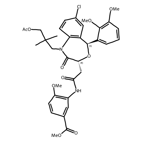 COC(=O)c1ccc(OC)c(NC(=O)C[C@H]2O[C@H](c3cccc(OC)c3OC)c3cc(Cl)ccc3N(CC(C)(C)COC(C)=O)C2=O)c1